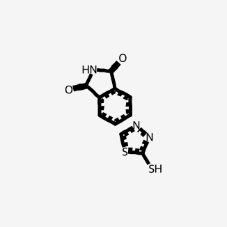 O=C1NC(=O)c2ccccc21.Sc1nncs1